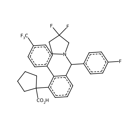 O=C(O)C1(c2cccc(C(c3ccc(F)cc3)N3CCC(F)(F)C3)c2-c2ccc(C(F)(F)F)cc2)CCCC1